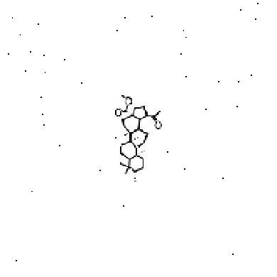 COC(=O)[C@]12CC[C@@H](C(C)=O)C1C1CCC3[C@@]4(C)CC[C@H](C)C(C)(C)C4CC[C@@]3(C)[C@]1(C)CC2